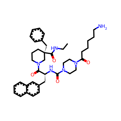 CCNC(=O)[C@]1(Cc2ccccc2)CCCN(C(=O)[C@@H](Cc2ccc3ccccc3c2)NC(=O)N2CCN(C(=O)CCCCCN)CC2)C1